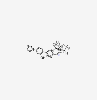 CO[C@@H]1/C(=C\c2ncc(-c3ccc(-n4ccnc4)cc3O)nn2)C[C@H]2N[C@]1(C)CC2(F)F